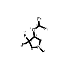 CN1CC(OC(F)F)C(F)(F)C1